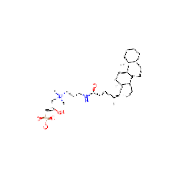 C[C@H](CCC(=O)NCCC[N+](C)(C)CC(O)=CS(=O)(=O)[O-])[C@H]1CCC2C3CCC4CCCC[C@]4(C)C3CC[C@@]21C